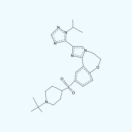 CC(C)n1ncnc1-c1cn2c(n1)-c1cc(S(=O)(=O)C3CCN(C(C)(C)C)CC3)ccc1OCC2